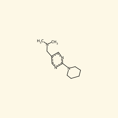 CN(C)Cc1cnc(N2CCCCC2)nc1